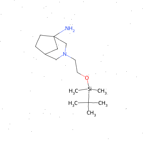 CC(C)(C)[Si](C)(C)OCCN1CC2CCC(N)(C2)C1